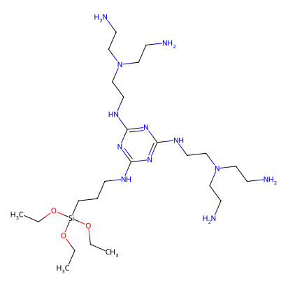 CCO[Si](CCCNc1nc(NCCN(CCN)CCN)nc(NCCN(CCN)CCN)n1)(OCC)OCC